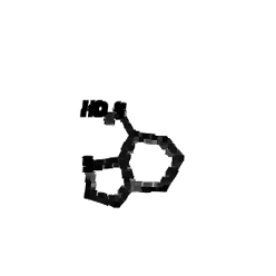 O=S(=O)(O)c1cccc2ccsc12